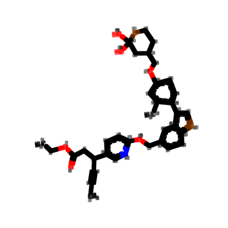 CC#CC(CC(=O)OCC)c1ccc(OCc2ccc3scc(-c4ccc(OCC5CCSC(O)(O)C5)cc4C)c3c2)nc1